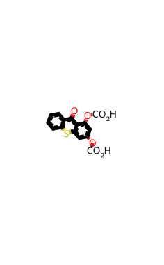 O=C(O)Oc1cc(OC(=O)O)c2c(=O)c3ccccc3sc2c1